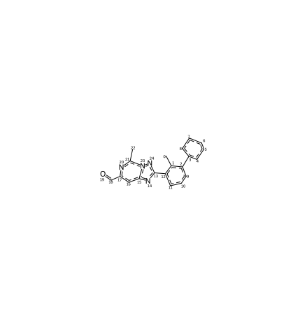 Cc1c(-c2ccccc2)cccc1-c1nc2cc(C=O)nc(C)n2n1